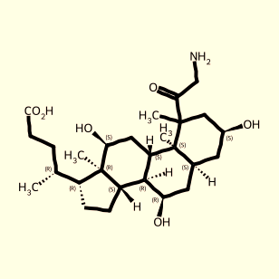 C[C@H](CCC(=O)O)[C@H]1CC[C@H]2[C@@H]3[C@H](O)C[C@@H]4C[C@H](O)CC(C)(C(=O)CN)[C@]4(C)[C@H]3C[C@H](O)[C@]12C